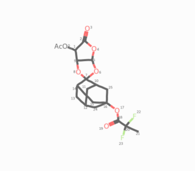 CC(=O)OC1C(=O)OC2OC3(OC21)C1CC2CC3CC(OC(=O)C(C)(F)F)(C2)C1